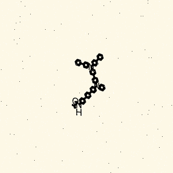 C=C(C)C(=O)Nc1ccc(-c2ccc(-c3ccc(N(c4ccccc4)c4ccc(-c5ccc(N(c6ccc(-c7ccccc7)cc6)c6ccc(-c7ccccc7)cc6)cc5)cc4)cc3)cc2)cc1